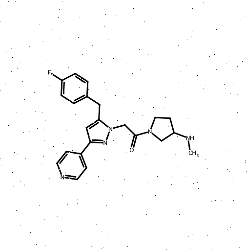 CNC1CCN(C(=O)Cn2nc(-c3ccncc3)cc2Cc2ccc(F)cc2)C1